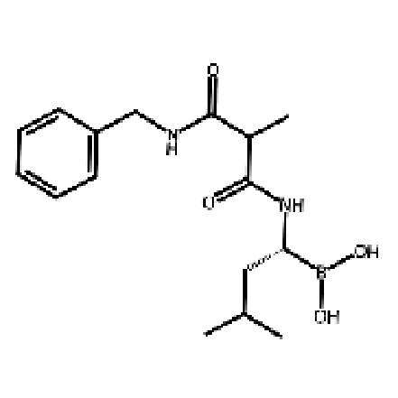 CC(C)C[C@H](NC(=O)C(C)C(=O)NCc1ccccc1)B(O)O